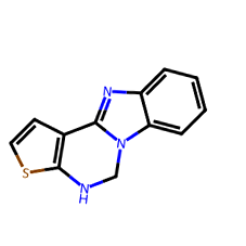 c1ccc2c(c1)nc1n2CNc2sccc2-1